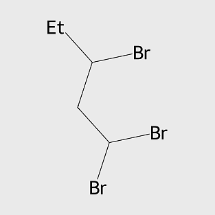 [CH2]CC(Br)CC(Br)Br